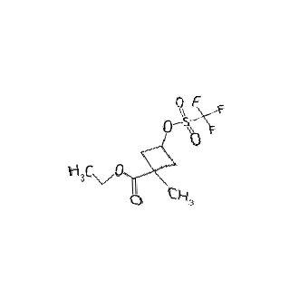 CCOC(=O)C1(C)CC(OS(=O)(=O)C(F)(F)F)C1